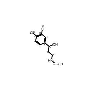 O=C(O)NCCC(O)c1ccc(Cl)c(Cl)c1